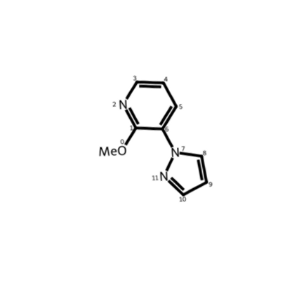 COc1ncccc1-n1cccn1